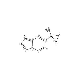 NC1(c2ccn3ccnc3c2)CC1